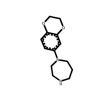 c1cc2c(cc1N1CCCNCC1)OCCO2